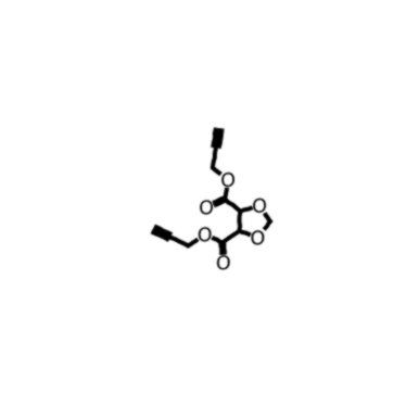 C#CCOC(=O)C1OCOC1C(=O)OCC#C